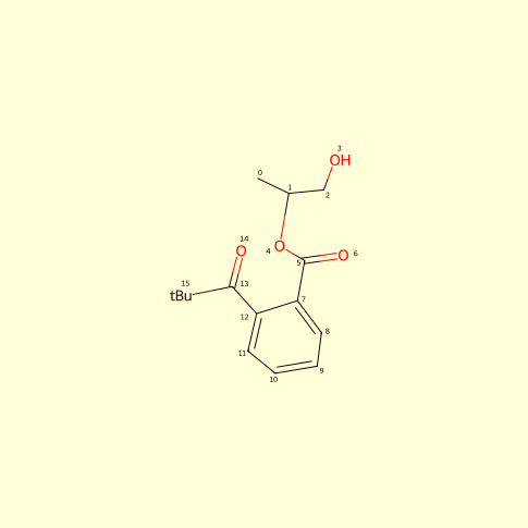 CC(CO)OC(=O)c1ccccc1C(=O)C(C)(C)C